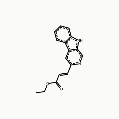 CCOC(=O)C=Cc1cc2c(cn1)[nH]c1ccccc12